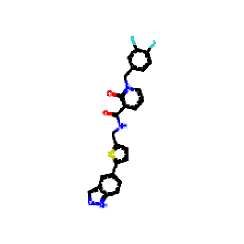 O=C(NCc1ccc(-c2ccc3[nH]ncc3c2)s1)c1cccn(Cc2ccc(F)c(F)c2)c1=O